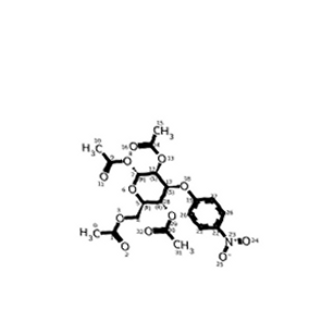 CC(=O)OC[C@H]1O[C@H](OC(C)=O)[C@@H](OC(C)=O)[C@@H](Oc2ccc([N+](=O)[O-])cc2)[C@@H]1OC(C)=O